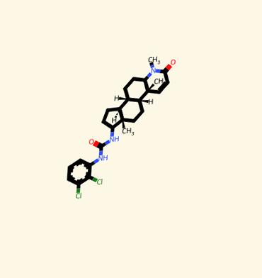 CN1C(=O)C=C[C@@]2(C)C1CC[C@@H]1[C@H]2CC[C@]2(C)C(NC(=O)Nc3cccc(Cl)c3Cl)CC[C@@H]12